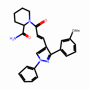 COc1cccc(-c2nn(-c3ccccc3)cc2/C=C/C(=O)N2CCCCC2C(N)=O)c1